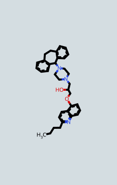 CCCCc1ccc2c(OCC(O)CN3CCN(C4c5ccccc5CCc5ccccc54)CC3)cccc2n1